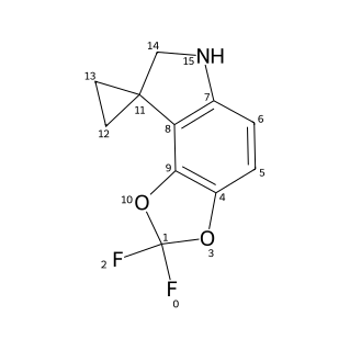 FC1(F)Oc2ccc3c(c2O1)C1(CC1)CN3